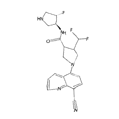 N#Cc1ccc(N2CC(C(=O)N[C@H]3CNC[C@@H]3F)C(C(F)F)C2)c2cccnc12